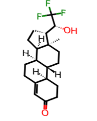 C[C@]12CC[C@H]3[C@@H](CCC4=CC(=O)CC[C@@H]43)[C@H]1CC[C@@H]2[C@@H](O)C(F)(F)F